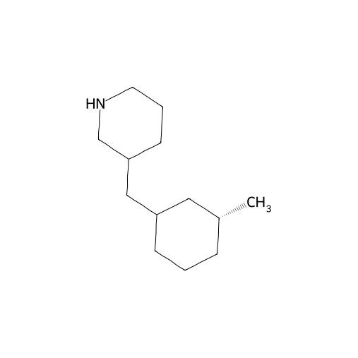 C[C@@H]1CCCC(CC2CCCNC2)C1